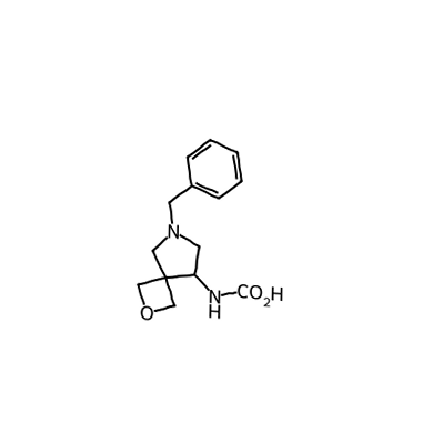 O=C(O)NC1CN(Cc2ccccc2)CC12COC2